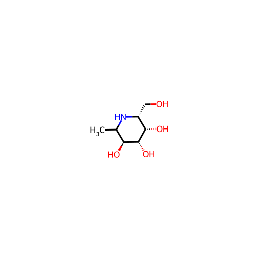 CC1N[C@H](CO)[C@H](O)[C@H](O)[C@H]1O